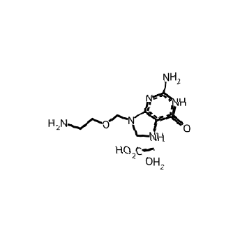 CC(=O)O.NCCOCN1CNc2c1nc(N)[nH]c2=O.O